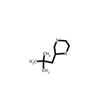 CC(C)(C)CC1CSCCS1